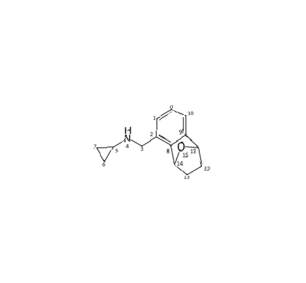 c1cc(CNC2CC2)c2c(c1)C1CCC2O1